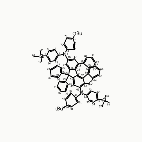 CC(C)(C)c1ccc(N(c2ccc([Si](C)(C)C)cc2)c2cc(-c3ccccc3)c3c(c2)C(c2ccccc2)(c2ccccc2)c2cc(N(c4ccc(C(C)(C)C)cc4)c4ccc([Si](C)(C)C)cc4)c4oc5ccccc5c4c2-3)cc1